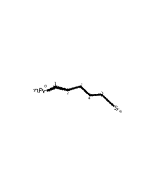 CC[CH][C][C][C][C][C][S]